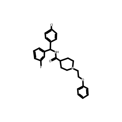 O=C(NC(c1ccc(Cl)cc1)c1cccc(F)c1)C1CCN(CCOc2ccccc2)CC1